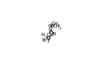 Cc1cc(OCC(=O)N(C)C)cc(=O)n1Cc1ccc(Br)c(F)c1